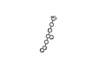 CCC(CN)C1CCC(C2C=CC(C3CCC(C4CCC(C5C=CC6C=CC=CC6C5)CC4)C4C=CCCC43)CC2)CC1